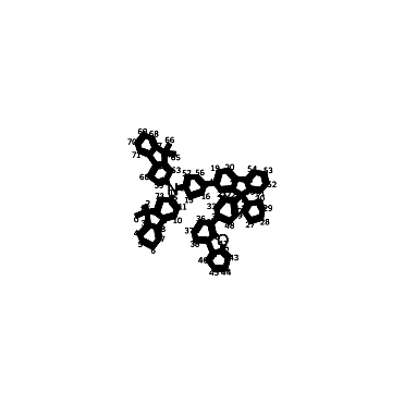 CC1(C)c2ccccc2-c2ccc(N(c3ccc(-c4ccc5c(c4)C(c4ccccc4)(c4ccc(-c6cccc7c6oc6ccccc67)cc4)c4ccccc4-5)cc3)c3ccc4c(c3)C(C)(C)c3ccccc3-4)cc21